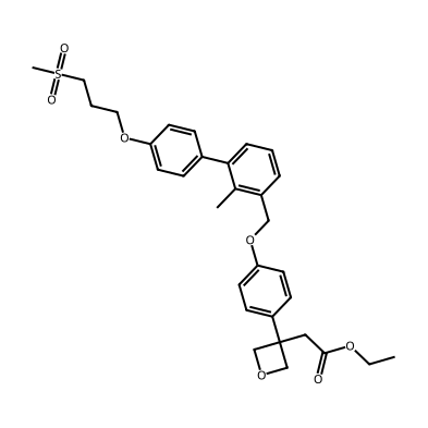 CCOC(=O)CC1(c2ccc(OCc3cccc(-c4ccc(OCCCS(C)(=O)=O)cc4)c3C)cc2)COC1